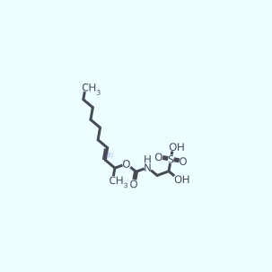 CCCCCC/C=C/C(C)OC(=O)NCC(O)S(=O)(=O)O